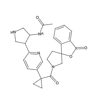 CC(=O)NC1CNCC1c1ccc(C2(C(=O)N3CCC4(C3)OC(=O)c3ccccc34)CC2)cn1